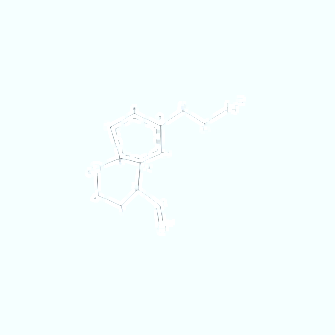 O=CC1CCOc2ccc(CCBr)cc21